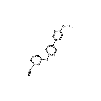 COc1ccc(-c2cnc(Oc3cccc(C#N)c3)nc2)nn1